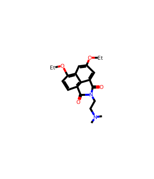 CCOc1cc2c3c(ccc(OCC)c3c1)C(=O)N(CCN(C)C)C2=O